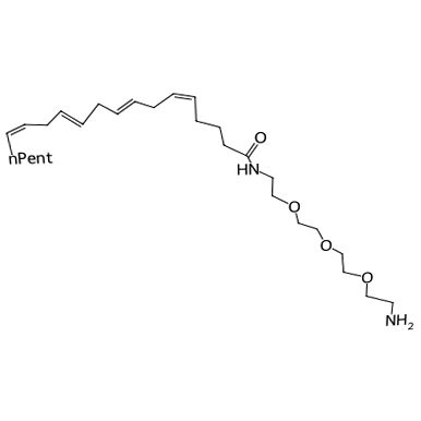 CCCCC/C=C\CC=CCC=CC/C=C\CCCC(=O)NCCOCCOCCOCCN